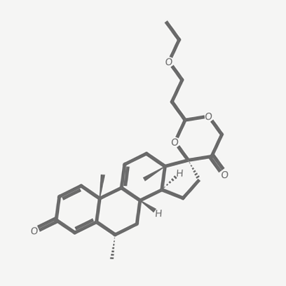 CCOCCC1OCC(=O)[C@]2(CC[C@H]3[C@@H]4C[C@H](C)C5=CC(=O)C=C[C@]5(C)C4=CC[C@@]32C)O1